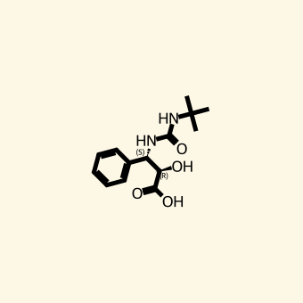 CC(C)(C)NC(=O)N[C@@H](c1ccccc1)[C@@H](O)C(=O)O